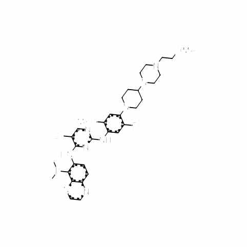 CCc1cc(Nc2ncc(Br)c(Nc3ccc4nccnc4c3P(C)C)n2)c(OC)cc1N1CCC(N2CCN(CCOC)CC2)CC1